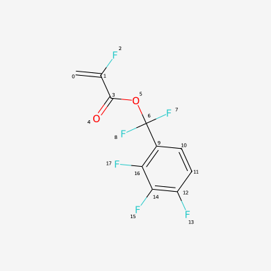 C=C(F)C(=O)OC(F)(F)c1ccc(F)c(F)c1F